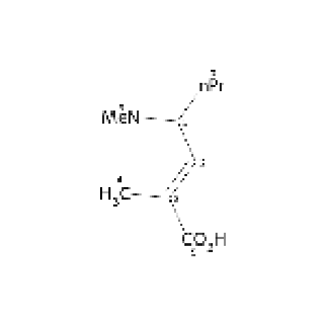 CCCC(C=C(C)C(=O)O)NC